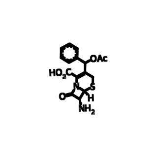 CC(=O)OC(C1=C(C(=O)O)N2C(=O)[C@H](N)[C@H]2SC1)c1ccccc1